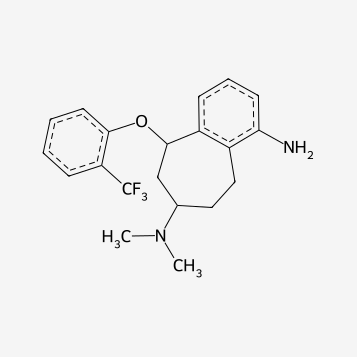 CN(C)C1CCc2c(N)cccc2C(Oc2ccccc2C(F)(F)F)C1